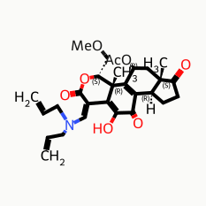 C=CCN(C=C1C(=O)O[C@H](COC)[C@@]2(C)C1=C(O)C(=O)C1=C2[C@H](OC(C)=O)C[C@]2(C)C(=O)CC[C@@H]12)CC=C